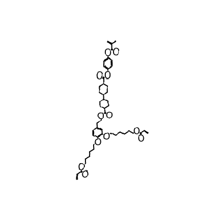 C=CC(=O)OCCCCCCOc1ccc(CCOC(=O)C2CCC(C3CCC(C(=O)Oc4ccc(OC(=O)C(=C)C)cc4)CC3)CC2)cc1OCCCCCCOC(=O)C=C